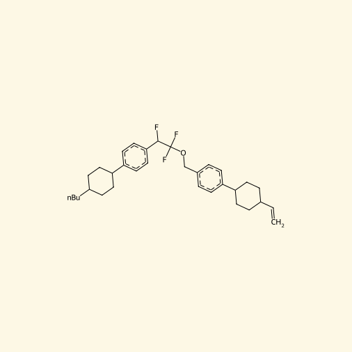 C=CC1CCC(c2ccc(COC(F)(F)C(F)c3ccc(C4CCC(CCCC)CC4)cc3)cc2)CC1